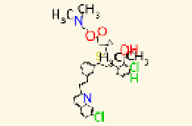 CCN(CC)CCOC(=O)CC1(CSC(CCc2ccccc2C(C)(C)O)c2cccc(C=Cc3ccc4ccc(Cl)cc4n3)c2)CC1.Cl